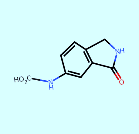 O=C(O)Nc1ccc2c(c1)C(=O)NC2